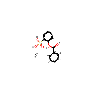 O=C(Oc1ccccc1S(=O)(=O)[O-])c1ccccc1.[K+]